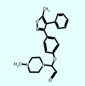 Cc1onc(-c2ccc(OC(C=O)N3CCN(C)CC3)cc2)c1-c1ccccc1